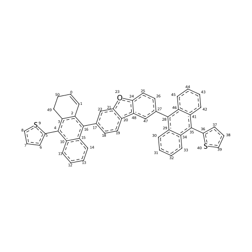 C1=Cc2c(c(-c3cccs3)c3ccccc3c2-c2ccc3c(c2)oc2ccc(-c4c5ccccc5c(-c5cccs5)c5ccccc45)cc23)CC1